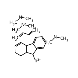 C=CC=C.C[N-]C.C[N-]C.C[N-]C.[Ti+3][CH]1c2ccccc2C2C=CCCC12